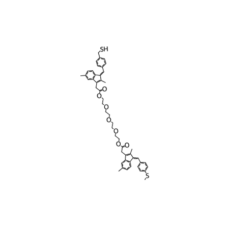 CSc1ccc(/C=C2/C(C)=C(CC(=O)OCCOCCOCCOCCOC(=O)CC3=C(C)/C(=C/c4ccc(CS)cc4)c4ccc(C)cc43)c3cc(C)ccc32)cc1